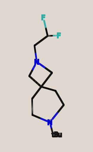 CC(C)(C)N1CCC2(CC1)CN(CC(F)F)C2